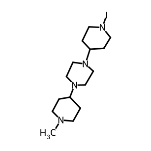 CN1CCC(N2CCN(C3CCN(I)CC3)CC2)CC1